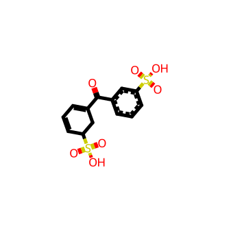 O=C(C1=CC=CC(S(=O)(=O)O)C1)c1cccc(S(=O)(=O)O)c1